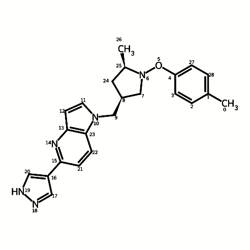 Cc1ccc(ON2C[C@@H](Cn3ccc4nc(-c5cn[nH]c5)ccc43)C[C@H]2C)cc1